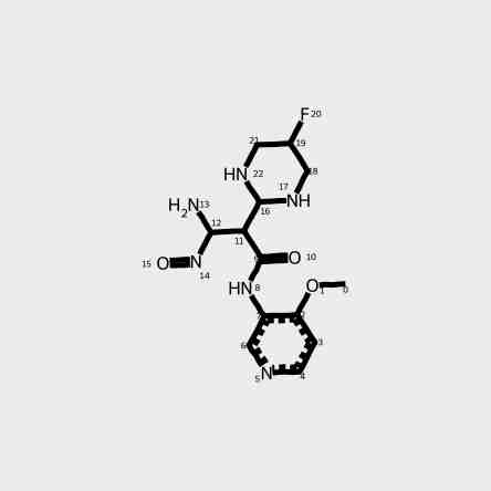 COc1ccncc1NC(=O)C(C(N)N=O)C1NCC(F)CN1